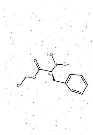 O=C(OCCl)[C@H](Cc1ccccc1)N(O)O